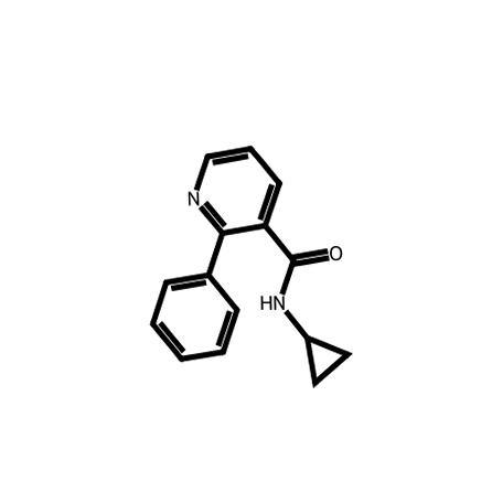 O=C(NC1CC1)c1cccnc1-c1ccccc1